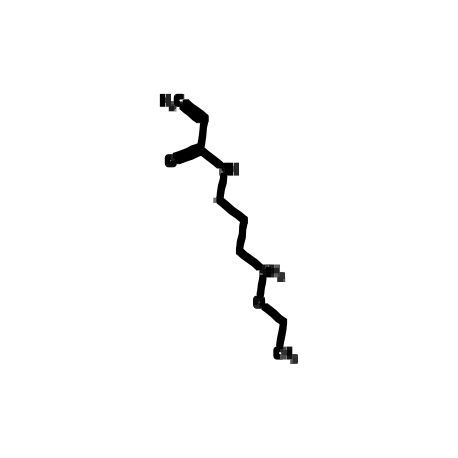 C=CC(=O)N[CH]CC[SiH2]OCC